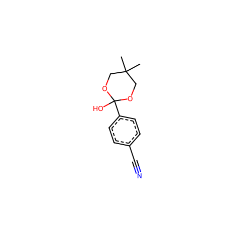 CC1(C)COC(O)(c2ccc(C#N)cc2)OC1